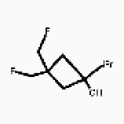 CC(C)C1(O)CC(CF)(CF)C1